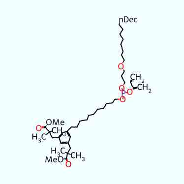 C=CC(=C)OP(OCCCCCCCCCCCc1cc(CC(C)(C)C(=O)OC)cc(CC(C)(C)C(=O)OC)c1)OCCCOCCCCCCCCCCCCCCCCCC